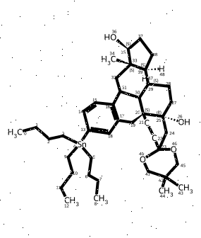 CCC[CH2][Sn]([CH2]CCC)([CH2]CCC)[c]1ccc2c(c1)C[C@]13CCC4(C[C@]1(O)CC[C@@H]1C3C2C[C@]2(C)[C@@H](O)CC[C@@H]12)OCC(C)(C)CO4